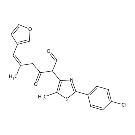 C/C(=C/c1ccoc1)CC(=O)C(C=O)c1nc(-c2ccc(Cl)cc2)sc1C